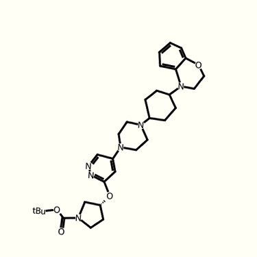 CC(C)(C)OC(=O)N1CC[C@@H](Oc2cc(N3CCN(C4CCC(N5CCOc6ccccc65)CC4)CC3)cnn2)C1